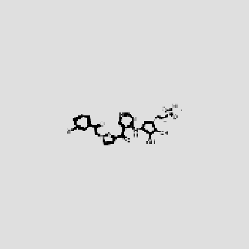 NS(=O)(=O)OC[C@H]1C[C@@H](Nc2ncncc2C(=O)c2ccn(CC(=O)c3cccc(Br)c3)n2)[C@H](O)[C@@H]1O